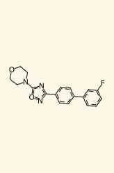 Fc1cccc(-c2ccc(-c3noc(N4CCOCC4)n3)cc2)c1